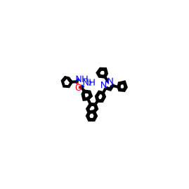 N=C(OC(N)C1=CC=CCC1)c1ccc(-c2cc3ccccc3cc2-c2ccc(-c3cc(-c4ccccc4)nc(-c4ccccc4)n3)cc2)cc1